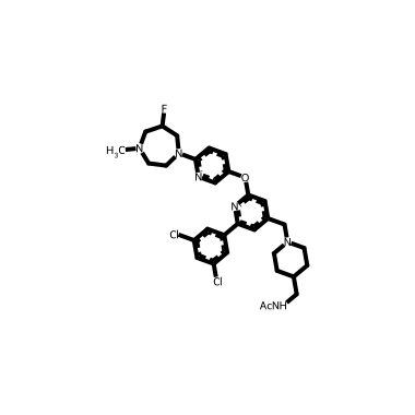 CC(=O)NCC1CCN(Cc2cc(Oc3ccc(N4CCN(C)CC(F)C4)nc3)nc(-c3cc(Cl)cc(Cl)c3)c2)CC1